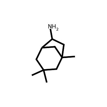 CC1(C)CC2CC(C)(CC2N)C1